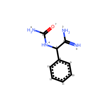 N=C(N)[C](NC(N)=O)c1ccccc1